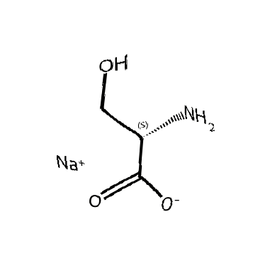 N[C@@H](CO)C(=O)[O-].[Na+]